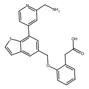 NCc1cc(-c2cc(COc3ccccc3CC(=O)O)cc3ccsc23)ccn1